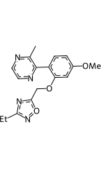 CCc1noc(COc2cc(OC)ccc2-c2nccnc2C)n1